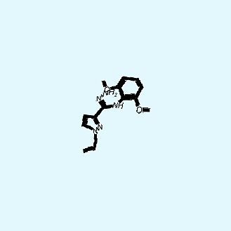 CCn1ccc(/C(=N/N)Nc2c(OC)cccc2OC)n1